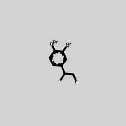 [CH2]C(CF)c1ccc(CCC)c(Br)c1